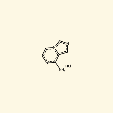 Cl.Nc1nccn2cncc12